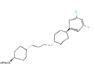 CCCCC[C@H]1CC[C@H](CCCC[C@H]2CC[C@H](c3cc(F)cc(F)c3)CC2)CC1